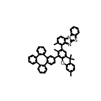 Cc1ccc2c(c1)Oc1c(cc(-c3c(C)ccc4c3nc3sc5ccccc5n34)c(C)c1-c1ccc3c(c1)-c1ccccc1-c1ccccc1-c1ccccc1-3)C2(C)C